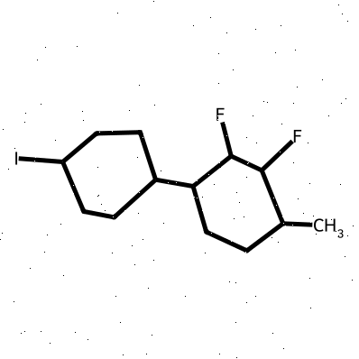 CC1CCC(C2CCC(I)CC2)C(F)C1F